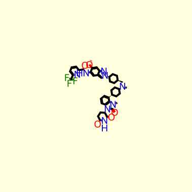 COc1cc2nn([C@H]3CC[C@H](CN(C)[C@H]4CC[C@@H](c5cccc6c5n(C)c(=O)n6C5CCC(=O)NC5=O)CC4)CC3)cc2cc1NC(=O)c1cccc(C(F)(F)F)n1